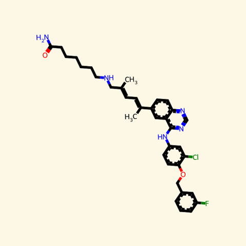 C/C(=C\C=C(/C)c1ccc2ncnc(Nc3ccc(OCc4cccc(F)c4)c(Cl)c3)c2c1)CNCCCCCCC(N)=O